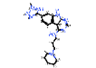 CN1N=NC(c2ccc3c(c2)NC2N=CN=C(NCCCN4CCCCC4)C32)N1